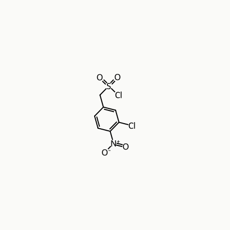 O=[N+]([O-])c1ccc(CS(=O)(=O)Cl)cc1Cl